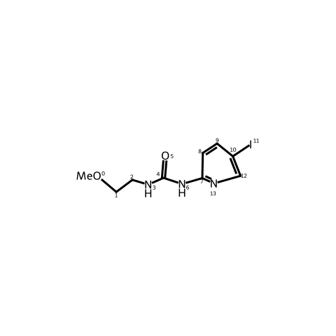 COCCNC(=O)Nc1ccc(I)cn1